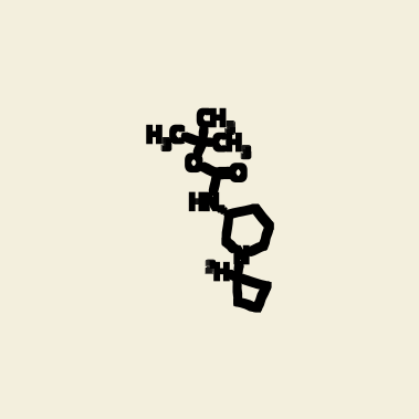 [2H]C1(N2CCC[C@@H](NC(=O)OC(C)(C)C)C2)CCC1